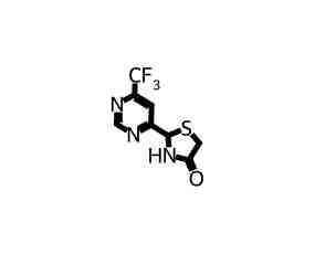 O=C1CSC(c2cc(C(F)(F)F)ncn2)N1